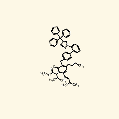 CCCCc1nc(N=CN(C)C)n(C(C(=O)OC)C(C)C)c(=O)c1Cc1ccc(-c2ccccc2N2CN(C(c3ccccc3)(c3ccccc3)c3ccccc3)N=N2)cc1